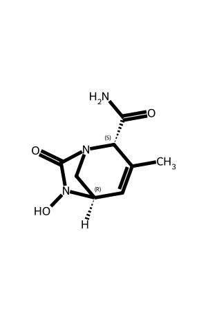 CC1=C[C@@H]2CN(C(=O)N2O)[C@@H]1C(N)=O